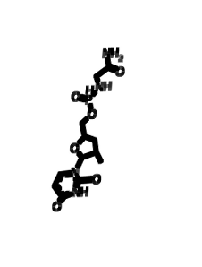 CC1CC(CO[PH](=O)NCC(N)=O)OC1n1ccc(=O)[nH]c1=O